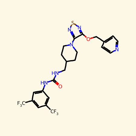 O=C(NCC1CCN(c2nsnc2OCc2ccncc2)CC1)Nc1cc(C(F)(F)F)cc(C(F)(F)F)c1